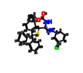 CC(C)(C)OC(=O)NC(CNc1cccc(Cl)c1)CSC(c1ccccc1)(c1ccccc1)c1ccccc1